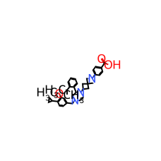 COc1cc(CN2CCN(C3CC4(C3)CN(c3ccc(C(=O)O)cc3)C4)C(c3ccccc3C(C)C)C2)ccc1C1CC1